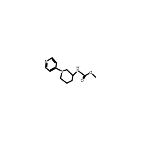 COC(=O)NC1CCCN(c2ccncc2)C1